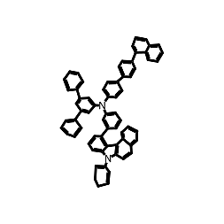 C1=CC(n2c3cccc(-c4cccc(N(c5ccc(-c6ccc(-c7cccc8ccccc78)cc6)cc5)c5cc(-c6ccccc6)cc(-c6ccccc6)c5)c4)c3c3c4ccccc4ccc32)=CCC1